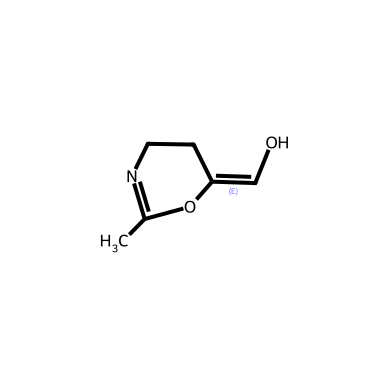 CC1=NCC/C(=C\O)O1